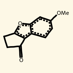 COc1ccc2c3c(oc2c1)CCC3=O